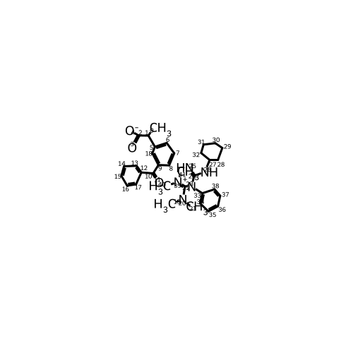 CC(C(=O)[O-])c1cccc(C(=O)c2ccccc2)c1.CN(C)C(N(C(=N)NC1CCCCC1)c1ccccc1)=[N+](C)C